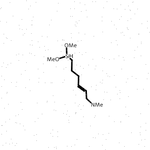 CNCC=CCCC[SiH](OC)OC